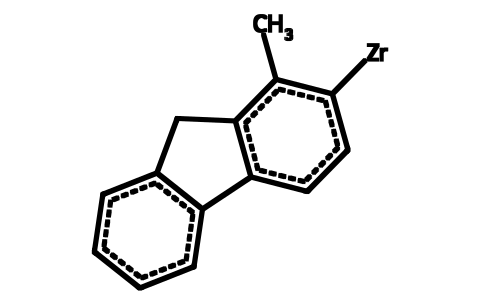 Cc1[c]([Zr])ccc2c1Cc1ccccc1-2